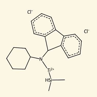 C[SiH](C)[Ti+2][N](C1CCCCC1)C1c2ccccc2-c2ccccc21.[Cl-].[Cl-]